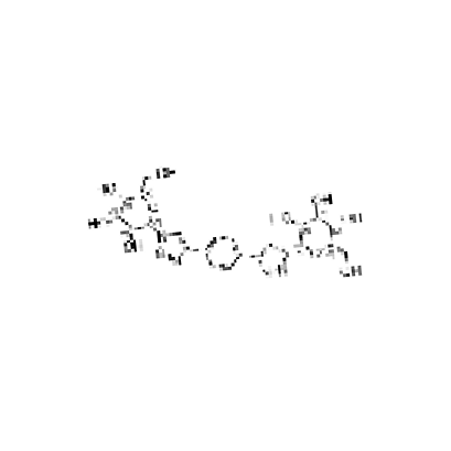 OC[C@H]1O[C@H](n2cc(-c3ccc(-c4cn([C@H]5O[C@H](CO)[C@@H](O)[C@H](O)[C@@H]5O)nn4)cc3)nn2)[C@@H](O)[C@@H](O)[C@@H]1O